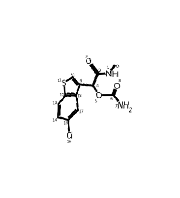 CNC(=O)C(OC(N)=O)c1csc2ccc(Cl)cc12